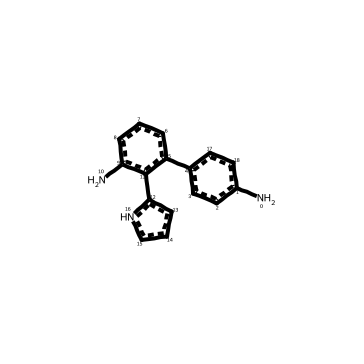 Nc1ccc(-c2cccc(N)c2-c2ccc[nH]2)cc1